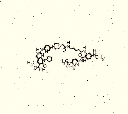 CNc1ccc(C(=O)Nc2ccc(N(C)C)nn2)c(NCCCCCNC(=O)CN2CCN(c3ccc(Nc4ncc5c(C)c(C(C)=O)c(=O)n(C6CCCC6)c5n4)nc3)CC2)c1